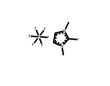 Cn1cc[n+](C)c1F.F[P-](F)(F)(F)(F)F